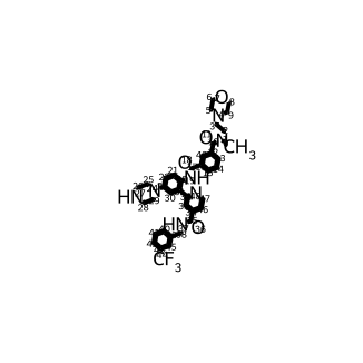 CN(CCN1CCOCC1)C(=O)c1cccc(C(=O)Nc2ccc(N3CCNCC3)cc2-c2cc(C(=O)NCc3cccc(C(F)(F)F)c3)ccn2)c1